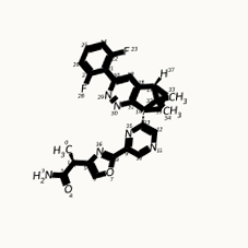 C[C@H](C(N)=O)c1coc(-c2cncc([C@]34CC[C@@H](c5cc(-c6c(F)cccc6F)nnc53)C4(C)C)n2)n1